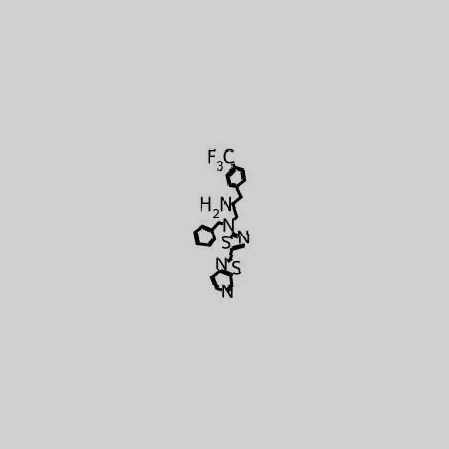 NC(Cc1ccc(C(F)(F)F)cc1)CN(Cc1ccccc1)c1ncc(-c2nc3ccncc3s2)s1